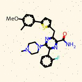 COc1ccc(-c2ccc(Cc3nc(N4CCN(C)CC4)c(-c4ccccc4F)nc3C(N)=O)s2)cc1C